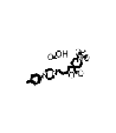 Cc1ccc(N2CCN(CCC3CC4(CCN(S(C)(=O)=O)CC4)C(=O)O3)CC2)cc1.O=CO